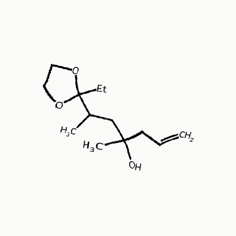 C=CCC(C)(O)CC(C)C1(CC)OCCO1